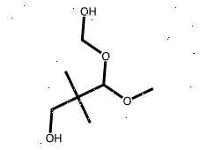 COC(OCO)C(C)(C)CO